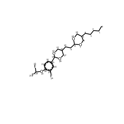 CCCCCC1COC(CCC2COC(c3ccc(OC(F)F)c(F)c3)OC2)OC1